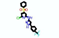 O=S(=O)(c1ccccc1)c1cc(Cl)nc(Nc2cc(-c3ccc(C(F)(F)F)cc3)[nH]n2)c1